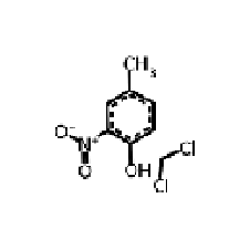 Cc1ccc(O)c([N+](=O)[O-])c1.ClCCl